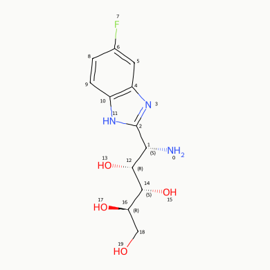 N[C@@H](c1nc2cc(F)ccc2[nH]1)[C@@H](O)[C@H](O)[C@H](O)CO